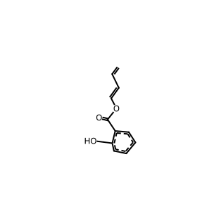 C=CC=COC(=O)c1ccccc1O